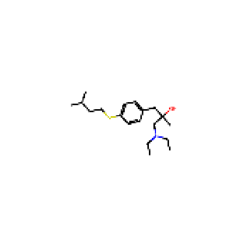 CCN(CC)CC(C)(O)Cc1ccc(SCCC(C)C)cc1